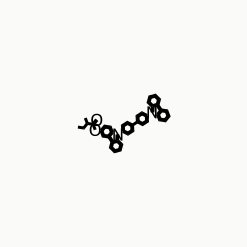 CCC(C)C(=O)Oc1ccc2c(c1)c1ccccc1n2-c1ccc(-c2ccc(-n3c4ccccc4c4ccccc43)cc2)cc1